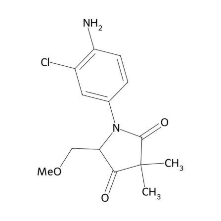 COCC1C(=O)C(C)(C)C(=O)N1c1ccc(N)c(Cl)c1